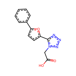 O=C(O)Cn1nnnc1-c1ccc(-c2ccccc2)o1